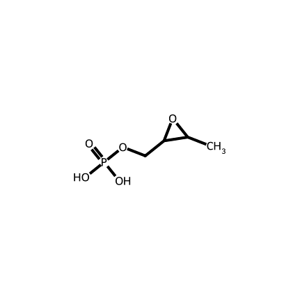 CC1OC1COP(=O)(O)O